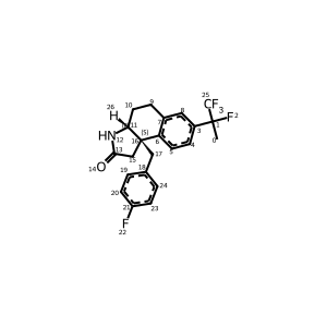 CC(F)(c1ccc2c(c1)CC[C@H]1NC(=O)C[C@@]21Cc1ccc(F)cc1)C(F)(F)F